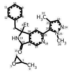 CC1CO1.CCC1(Cc2ccccc2)NC(=O)c2cnc(-c3c(C)cnn3C)cc21